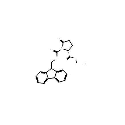 CCCCCCCCOC(=O)[C@@H]1CCC(=O)N1C(=O)OCC1c2ccccc2-c2ccccc21